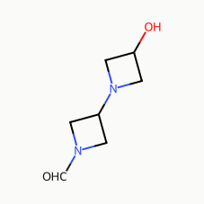 O=CN1CC(N2CC(O)C2)C1